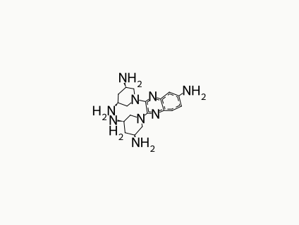 Nc1ccc2nc(N3C[C@H](N)C[C@H](N)C3)c(N3C[C@H](N)C[C@H](N)C3)nc2c1